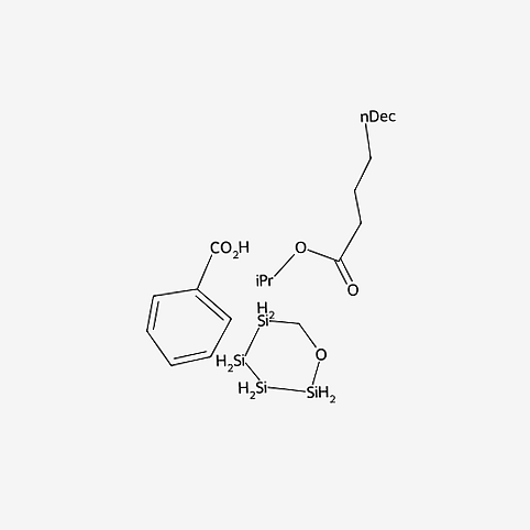 C1O[SiH2][SiH2][SiH2][SiH2]1.CCCCCCCCCCCCCC(=O)OC(C)C.O=C(O)c1ccccc1